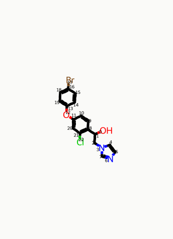 OC(Cn1ccnc1)c1ccc(Oc2ccc(Br)cc2)cc1Cl